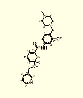 CN1CCN(Cc2ccc(NC(=O)C3=CC=CC(C)(NCc4cccnc4)C3)cc2C(F)(F)F)CC1